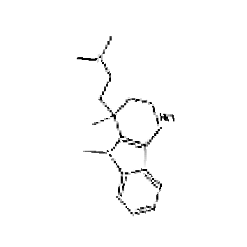 CN(C)CCC1(C)CCCc2c1n(C)c1ccccc21.Cl